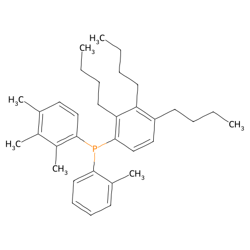 CCCCc1ccc(P(c2ccccc2C)c2ccc(C)c(C)c2C)c(CCCC)c1CCCC